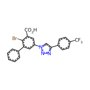 O=C(O)c1cc(-n2cc(-c3ccc(C(F)(F)F)cc3)nn2)cc(-c2ccccc2)c1Br